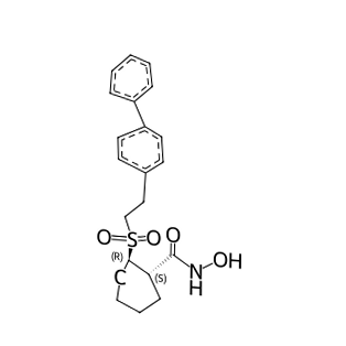 O=C(NO)[C@@H]1CCCC[C@H]1S(=O)(=O)CCc1ccc(-c2ccccc2)cc1